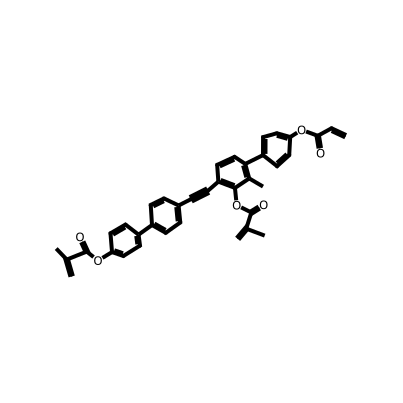 C=CC(=O)Oc1ccc(-c2ccc(C#Cc3ccc(-c4ccc(OC(=O)C(=C)C)cc4)cc3)c(OC(=O)C(=C)C)c2C)cc1